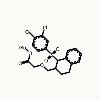 CC(C)(C)OC(=O)COCC1CCc2ccccc2C1S(=O)(=O)c1ccc(Cl)c(Cl)c1